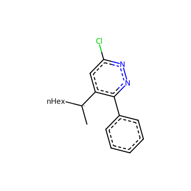 CCCCCC[C](C)c1cc(Cl)nnc1-c1ccccc1